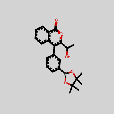 CC(O)c1oc(=O)c2ccccc2c1-c1cccc(B2OC(C)(C)C(C)(C)O2)c1